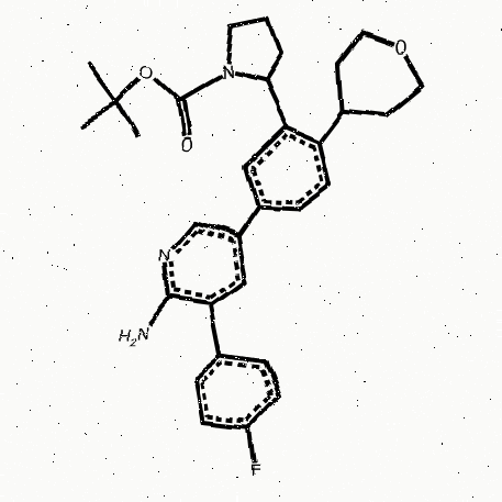 CC(C)(C)OC(=O)N1CCCC1c1cc(-c2cnc(N)c(-c3ccc(F)cc3)c2)ccc1C1CCOCC1